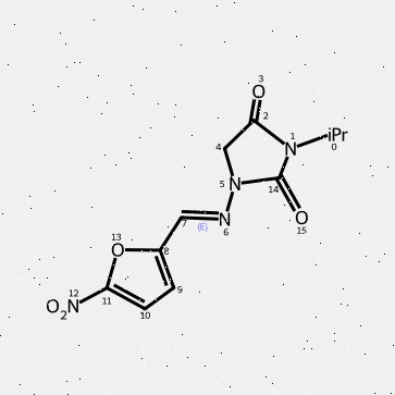 CC(C)N1C(=O)CN(/N=C/c2ccc([N+](=O)[O-])o2)C1=O